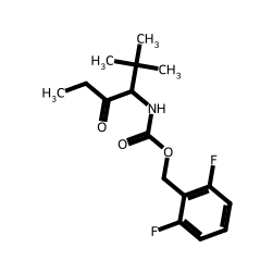 CCC(=O)C(NC(=O)OCc1c(F)cccc1F)C(C)(C)C